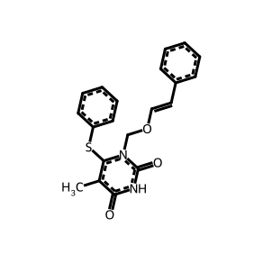 Cc1c(Sc2ccccc2)n(COC=Cc2ccccc2)c(=O)[nH]c1=O